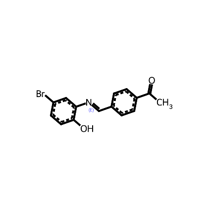 CC(=O)c1ccc(/C=N/c2cc(Br)ccc2O)cc1